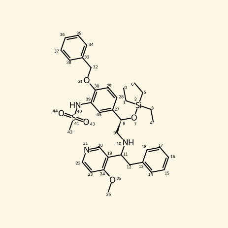 CC[Si](CC)(CC)O[C@@H](CNC(Cc1ccccc1)c1cnccc1OC)c1ccc(OCc2ccccc2)c(NS(C)(=O)=O)c1